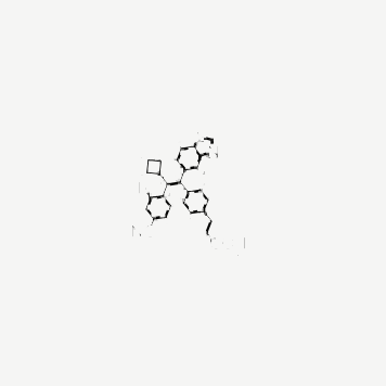 N#Cc1ccc(C(=C(c2ccc(C=CC(=O)O)cc2)c2ccc3scnc3c2)C2CCC2)c(F)c1